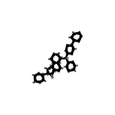 c1ccc(-c2ccc(N(c3ccccc3)c3cccc4c3ccc3oc(-c5ccccc5)nc34)cc2)cc1